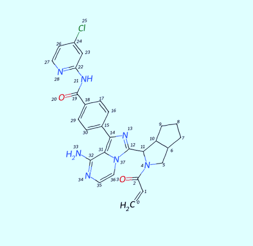 C=CC(=O)N1CC2CCCC2C1c1nc(-c2ccc(C(=O)Nc3cc(Cl)ccn3)cc2)c2c(N)nccn12